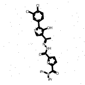 C/C(=N\NC(=O)c1ccc(C(=O)N(C(C)C)C(C)C)s1)c1csc(-c2ccc(Cl)c(Cl)c2)c1O